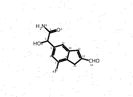 NC(=O)C(O)c1cc(F)c2c(c1)C=C(C=O)C2